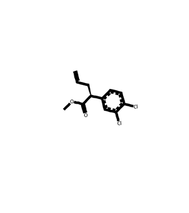 C=CC[C@H](C(=O)OC)c1ccc(Cl)c(Cl)c1